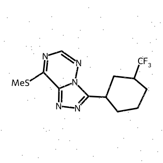 CSc1ncnn2c(C3CCCC(C(F)(F)F)C3)nnc12